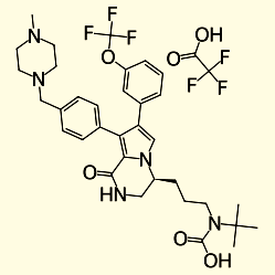 CN1CCN(Cc2ccc(-c3c(-c4cccc(OC(F)(F)F)c4)cn4c3C(=O)NC[C@@H]4CCCN(C(=O)O)C(C)(C)C)cc2)CC1.O=C(O)C(F)(F)F